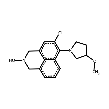 COC1CCN(c2c(Cl)cc3c4c(cccc24)CN(O)C3)C1